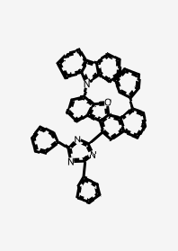 c1ccc(-c2nc(-c3ccccc3)nc(-c3cc4cccc(-c5ccccc5)c4c4oc5c(-n6c7ccccc7c7ccccc76)cccc5c34)n2)cc1